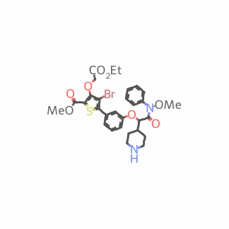 CCOC(=O)COc1c(C(=O)OC)sc(-c2cccc(OC(C(=O)N(OC)c3ccccc3)C3CCNCC3)c2)c1Br